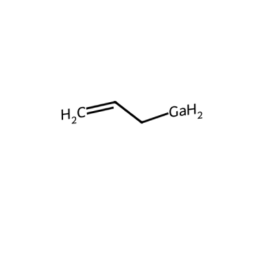 C=C[CH2][GaH2]